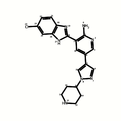 Nc1ncc(-c2cnn(C3CCNCC3)c2)cc1-c1nc2ccc(Cl)cc2[nH]1